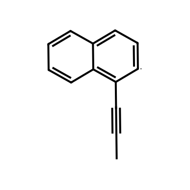 CC#Cc1[c]ccc2ccccc12